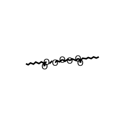 CCCCCCCC(=O)OCCOCCOCCOCCOC(=O)CCCCCCC